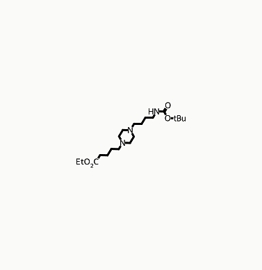 CCOC(=O)CCCCN1CCN(CCCCNC(=O)OC(C)(C)C)CC1